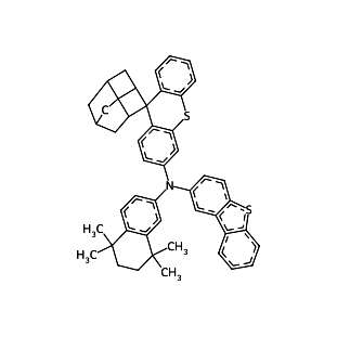 CC1(C)CCC(C)(C)c2cc(N(c3ccc4c(c3)Sc3ccccc3C43C4CC5CC6CC3C64C5)c3ccc4sc5ccccc5c4c3)ccc21